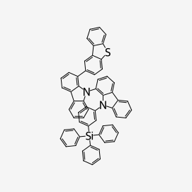 c1ccc([Si](c2ccccc2)(c2ccccc2)c2cccc(-n3c4ccccc4c4cccc(-n5c6ccccc6c6cccc(-c7ccc8sc9ccccc9c8c7)c65)c43)c2)cc1